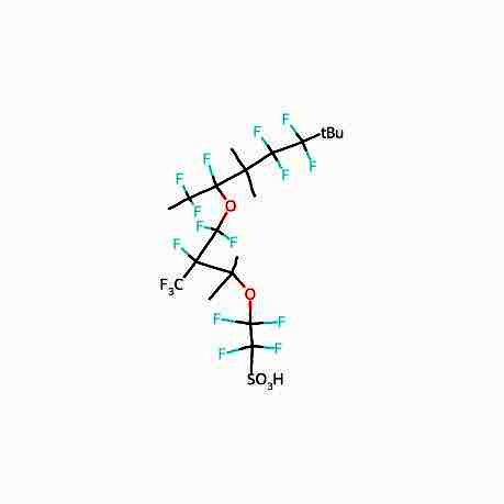 CC(C)(C)C(F)(F)C(F)(F)C(C)(C)C(F)(OC(F)(F)C(F)(C(F)(F)F)C(C)(C)OC(F)(F)C(F)(F)S(=O)(=O)O)C(C)(F)F